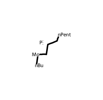 CCCCCCC[CH2][Mo][CH2]CCC.[P]